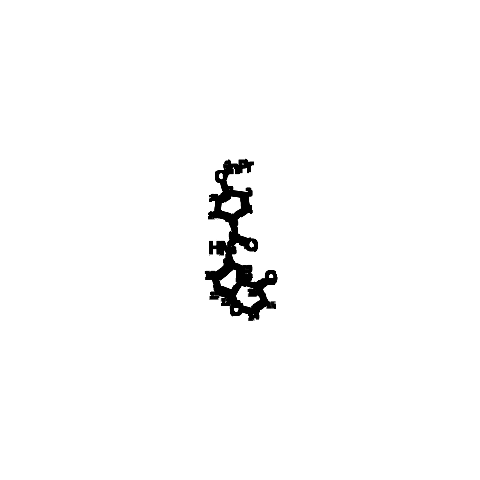 CCCOc1ccc(C(=O)Nc2ccc3o[c]cc(=O)c3c2)cc1